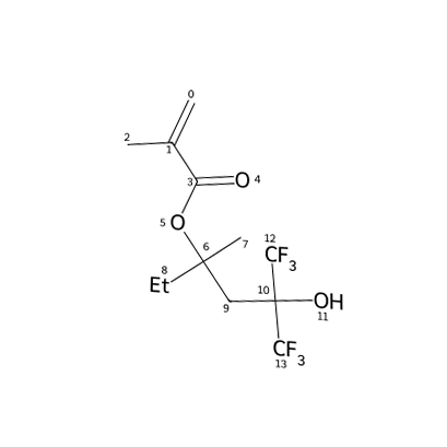 C=C(C)C(=O)OC(C)(CC)CC(O)(C(F)(F)F)C(F)(F)F